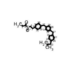 C=CC(=O)[S+]([O-])CCc1ccc(Cc2ccc(Cc3ccc(CC(=C)C)cc3)cc2)cc1